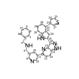 c1ccc(CNCc2cncc(-c3ccc4[nH]nc(-c5cc6c(-c7ccsc7)cccc6[nH]5)c4n3)c2)cc1